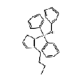 CCCCC1=C([Si](Nc2ccccc2)(c2ccccc2)c2ccccc2)CC=C1